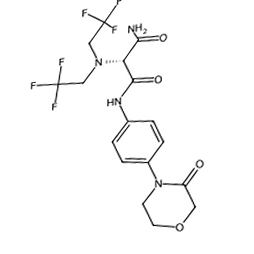 NC(=O)[C@H](C(=O)Nc1ccc(N2CCOCC2=O)cc1)N(CC(F)(F)F)CC(F)(F)F